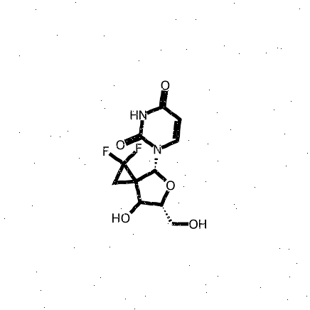 O=c1ccn([C@@H]2O[C@H](CO)C(O)C23CC3(F)F)c(=O)[nH]1